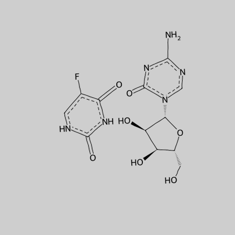 Nc1ncn([C@@H]2O[C@H](CO)[C@@H](O)[C@H]2O)c(=O)n1.O=c1[nH]cc(F)c(=O)[nH]1